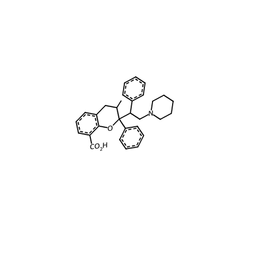 CC1Cc2cccc(C(=O)O)c2OC1(c1ccccc1)C(CN1CCCCC1)c1ccccc1